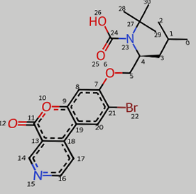 CC(C)C[C@@H](COc1cc2oc(=O)c3cnccc3c2cc1Br)N(C(=O)O)C(C)(C)C